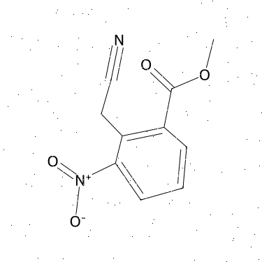 COC(=O)c1cccc([N+](=O)[O-])c1CC#N